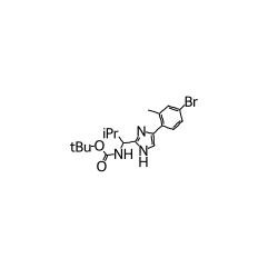 Cc1cc(Br)ccc1-c1c[nH]c(C(NC(=O)OC(C)(C)C)C(C)C)n1